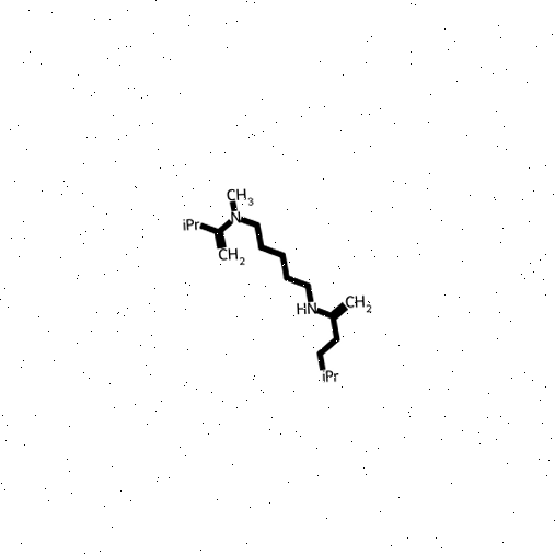 C=C(CCC(C)C)NCCCCCN(C)C(=C)C(C)C